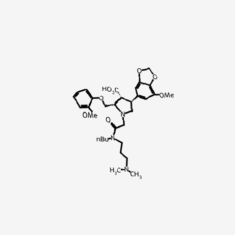 CCCCN(CCCN(C)C)C(=O)CN1C[C@H](c2cc(OC)c3c(c2)OCO3)[C@@H](C(=O)O)[C@@H]1COc1ccccc1OC